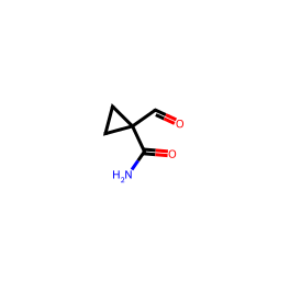 NC(=O)C1(C=O)CC1